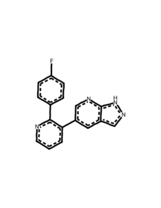 Fc1ccc(-c2ncccc2-c2cnc3[nH]ncc3c2)cc1